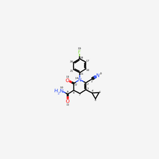 N#CC1=C(C2CC2)CC(C(N)=O)C(=O)N1c1ccc(F)cc1